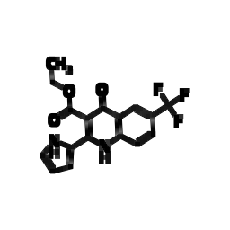 CCOC(=O)c1c(-c2ccc[nH]2)[nH]c2ccc(C(F)(F)F)cc2c1=O